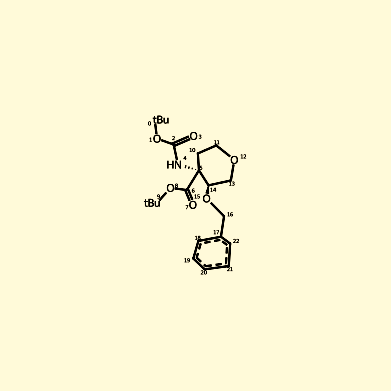 CC(C)(C)OC(=O)N[C@]1(C(=O)OC(C)(C)C)CCOC[C@H]1OCc1ccccc1